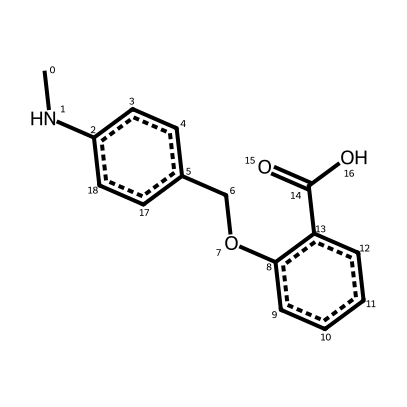 CNc1ccc(COc2ccccc2C(=O)O)cc1